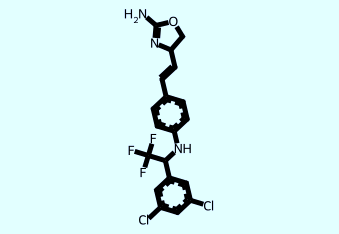 NC1=NC(C=Cc2ccc(NC(c3cc(Cl)cc(Cl)c3)C(F)(F)F)cc2)CO1